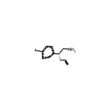 C=CC[C@@H](CN)c1ccc(I)cc1